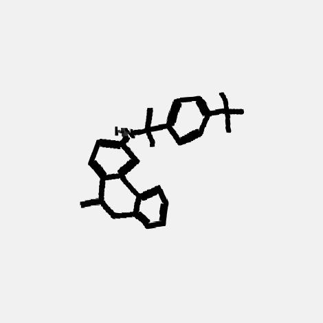 CC1Cc2ccccc2-c2cc(NC(C)(C)c3ccc(C(C)(C)C)cc3)ccc21